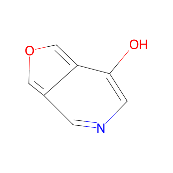 Oc1cncc2cocc12